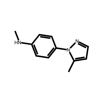 CNc1ccc(-n2nccc2C)cc1